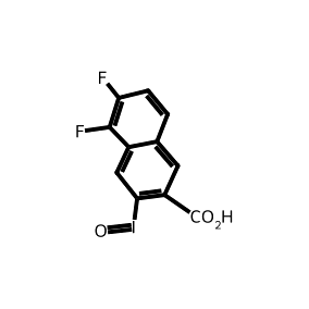 O=Ic1cc2c(F)c(F)ccc2cc1C(=O)O